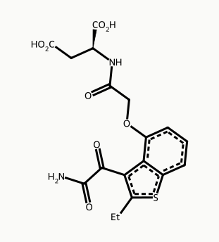 CCc1sc2cccc(OCC(=O)N[C@@H](CC(=O)O)C(=O)O)c2c1C(=O)C(N)=O